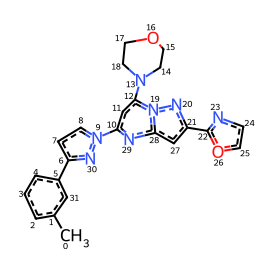 Cc1cccc(-c2ccn(-c3cc(N4CCOCC4)n4nc(-c5ncco5)cc4n3)n2)c1